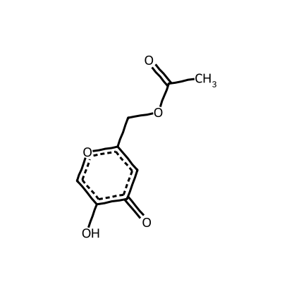 CC(=O)OCc1cc(=O)c(O)co1